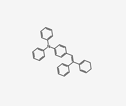 C1=CC(C(=Cc2ccc(N(c3ccccc3)c3ccccc3)cc2)c2ccccc2)=CCC1